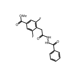 COC(=O)c1cc(F)c(CC(=O)NNC(=O)c2ccccc2)c(F)c1